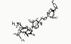 COC(=O)[C@H](C)N[PH](=S)OC[C@]1(F)C[C@H](C)[C@H](n2cnc3c(N(C)C)nc(N)nc32)O1